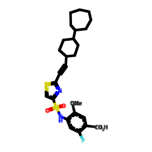 COc1cc(C(=O)O)c(F)cc1NS(=O)(=O)c1csc(C#CC2CCC(C3CCCCCC3)CC2)n1